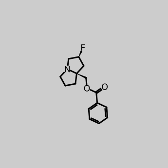 O=C(OC[C@@]12CCCN1C[C@@H](F)C2)c1ccccc1